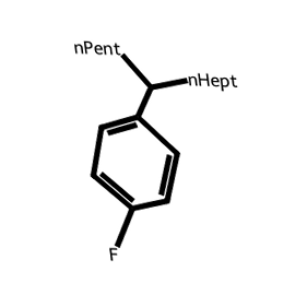 CCCCCCCC(CCCCC)c1ccc(F)cc1